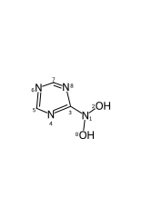 ON(O)c1ncncn1